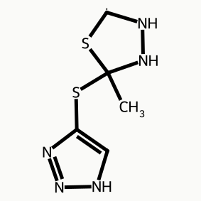 CC1(Sc2c[nH]nn2)NN[CH]S1